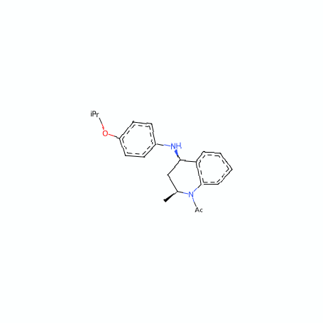 CC(=O)N1c2ccccc2[C@H](Nc2ccc(OC(C)C)cc2)C[C@@H]1C